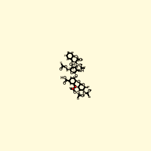 CCC1CC(C(=O)O)C[C@@H](O[C@@H]2O[C@@H](COC(C)=O)[C@H](O)C(O[C@@H](CC3CCCCC3)C(=O)O)C2NC(C)=O)[C@@H]1OC1O[C@@H](C)[C@H](OC(C)=O)C(OC(C)=O)[C@@H]1OC(C)=O